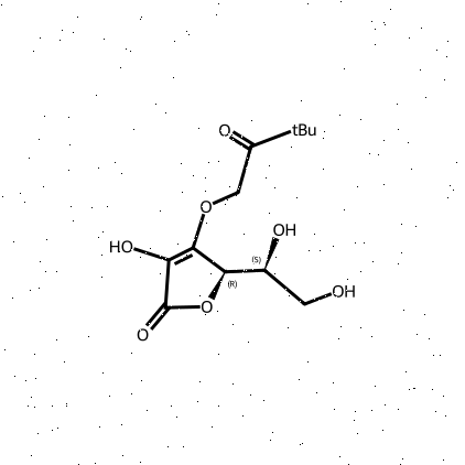 CC(C)(C)C(=O)COC1=C(O)C(=O)O[C@@H]1[C@@H](O)CO